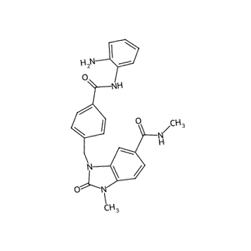 CNC(=O)c1ccc2c(c1)n(Cc1ccc(C(=O)Nc3ccccc3N)cc1)c(=O)n2C